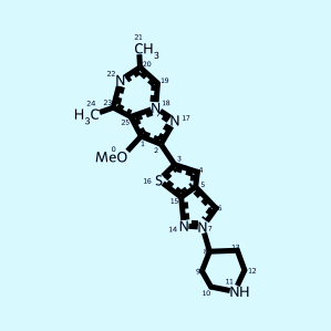 COc1c(-c2cc3cn(C4CCNCC4)nc3s2)nn2cc(C)nc(C)c12